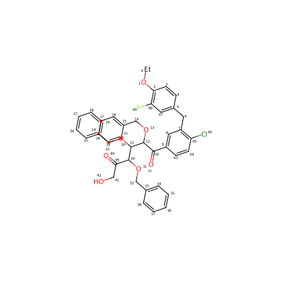 CCOc1ccc(Cc2cc(C(=O)C(OCc3ccccc3)C(OCc3ccccc3)C(OCc3ccccc3)C(=O)CO)ccc2Cl)cc1F